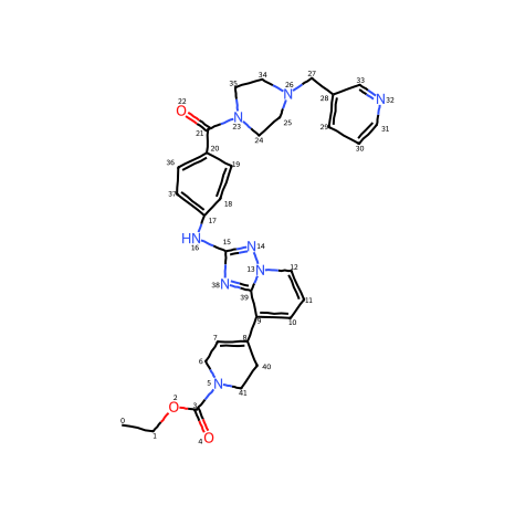 CCOC(=O)N1CC=C(c2cccn3nc(Nc4ccc(C(=O)N5CCN(Cc6cccnc6)CC5)cc4)nc23)CC1